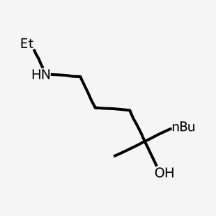 CCCCC(C)(O)CCCNCC